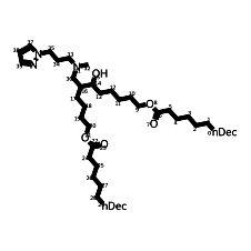 CCCCCCCCCCCCCCCC(=O)OCCCCCC(O)C(CCCCOC(=O)CCCCCCCCCCCCCCC)CN(C)CCCn1cccn1